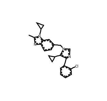 Cc1nc2ccc(Cn3cnc(-c4ccccc4Cl)c3C3CC3)cc2n1C1CC1